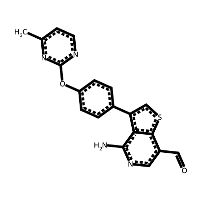 Cc1ccnc(Oc2ccc(-c3csc4c(C=O)cnc(N)c34)cc2)n1